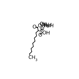 CCCCCCCCCCC(C(=O)O)S(=O)(=O)O.[CH3].[NaH].[NaH]